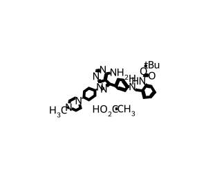 CC(=O)O.CN1CCN([C@H]2CC[C@H](n3nc(-c4ccc(NCc5ccccc5NC(=O)OC(C)(C)C)cc4)c4c(N)ncnc43)CC2)CC1